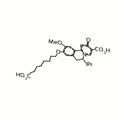 COc1cc2c(cc1OCCCCCCCCC(=O)O)CC(C(C)C)n1cc(C(=O)O)c(=O)cc1-2